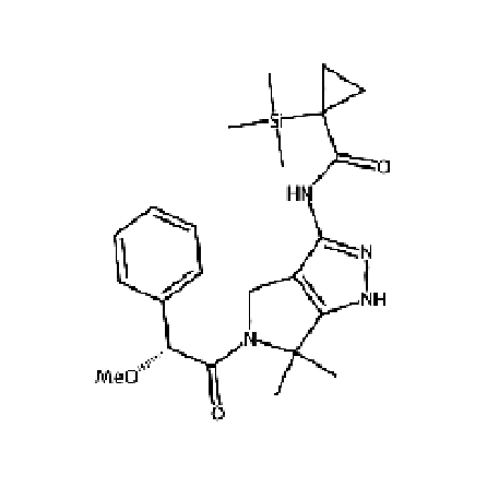 CO[C@@H](C(=O)N1Cc2c(NC(=O)C3([Si](C)(C)C)CC3)n[nH]c2C1(C)C)c1ccccc1